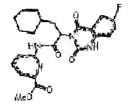 COC(=O)c1cccc(NC(=O)C(CC2CCCCC2)n2c(=O)[nH]c3ccc(F)cc3c2=O)n1